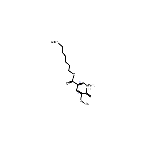 C=C(O)/C(=C\C(=C/CCCCC)C(=O)OCCCCCCCCCCCCCCCC)SCCCC